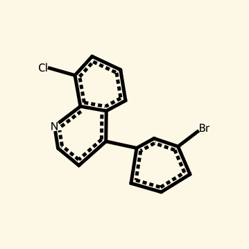 Clc1cccc2c(-c3cccc(Br)c3)ccnc12